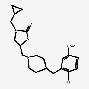 COc1ccc(Cl)c(CC2CCN(CC3CN(CC4CC4)C(=O)S3)CC2)c1